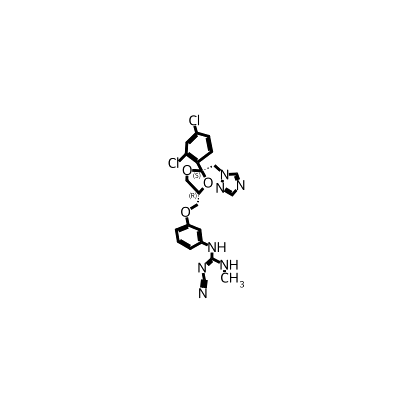 CNC(=NC#N)Nc1cccc(OC[C@@H]2CO[C@@](Cn3cncn3)(c3ccc(Cl)cc3Cl)O2)c1